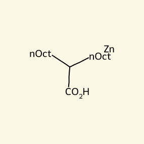 CCCCCCCCC(CCCCCCCC)C(=O)O.[Zn]